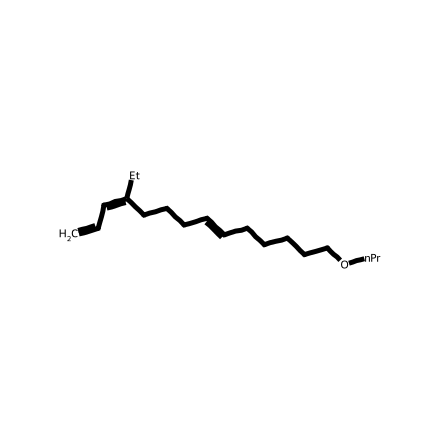 C=C/C=C(/CC)CCC/C=C/CCCCCOCCC